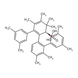 CC1=C(C)C(C)(C)[C@@H](P(=O)(O)O)C(c2ccc(C)c(C)c2-c2cc(C)cc(C)c2)=C1c1cc(C)cc(C)c1